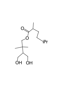 CC(C)CCC(C)C(=O)OCC(C)(C)C(CO)CO